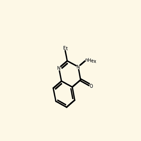 CCCCCCn1c(CC)nc2ccccc2c1=O